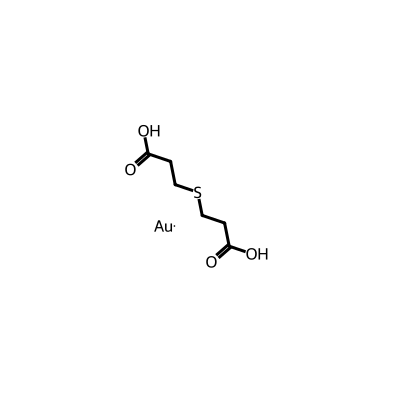 O=C(O)CCSCCC(=O)O.[Au]